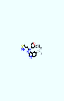 C[C@@H]1C[C@H](n2c(Cc3csnn3)nc3cnc4ccc(C(F)(F)F)cc4c32)CCO1